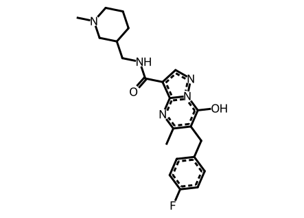 Cc1nc2c(C(=O)NCC3CCCN(C)C3)cnn2c(O)c1Cc1ccc(F)cc1